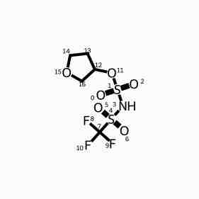 O=S(=O)(NS(=O)(=O)C(F)(F)F)OC1CCOC1